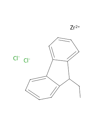 CCC1c2ccccc2-c2ccccc21.[Cl-].[Cl-].[Zr+2]